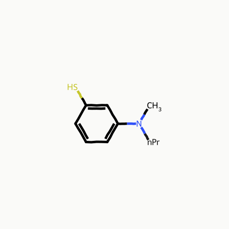 CCCN(C)c1cccc(S)c1